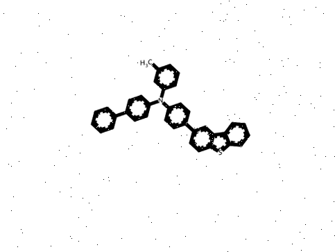 Cc1cccc(N(c2ccc(-c3ccccc3)cc2)c2ccc(-c3ccc4sc5ccccc5c4c3)cc2)c1